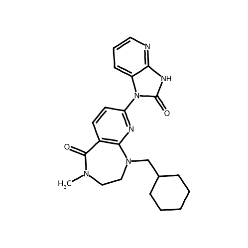 CN1CCN(CC2CCCCC2)c2nc(-n3c(=O)[nH]c4ncccc43)ccc2C1=O